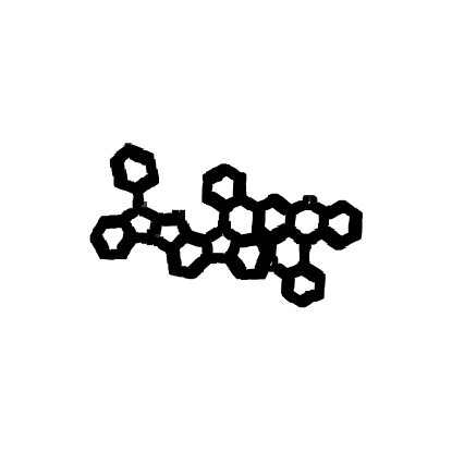 c1ccc(-n2c3ccccc3n3c4ccc5c6ccccc6n(-c6ccccc6-c6cc7c8c(c6)Oc6ccccc6B8c6ccccc6O7)c5c4nc23)cc1